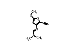 CSc1nc(N=CN(C)C)c(C#N)s1